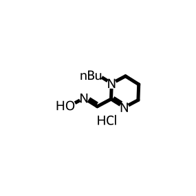 CCCCN1CCCN=C1C=NO.Cl